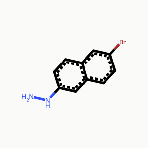 NNc1ccc2cc(Br)ccc2c1